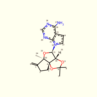 C=C1CC[C@]23OC(C)(C)O[C@H]2[C@H](n2ccc4c(N)ncnc42)O[C@]13C